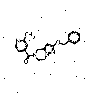 Cc1cc(C(=O)N2CCn3nc(OCc4ccccc4)cc3C2)ccn1